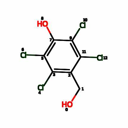 OCc1c(Cl)c(Cl)c(O)c(Cl)c1Cl